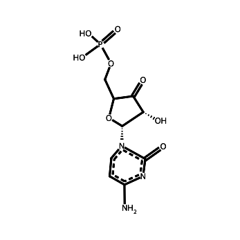 Nc1ccn([C@@H]2OC(COP(=O)(O)O)C(=O)[C@@H]2O)c(=O)n1